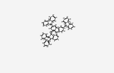 O=C1c2cccc(-n3c4ccc(-n5c6ccccc6c6ccccc65)cc4c4cc(-n5c6ccccc6c6ccccc65)ccc43)c2C(=O)N1c1ccccc1-c1ccccc1